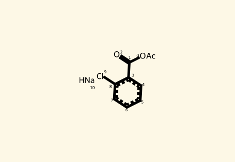 CC(=O)OC(=O)c1ccccc1Cl.[NaH]